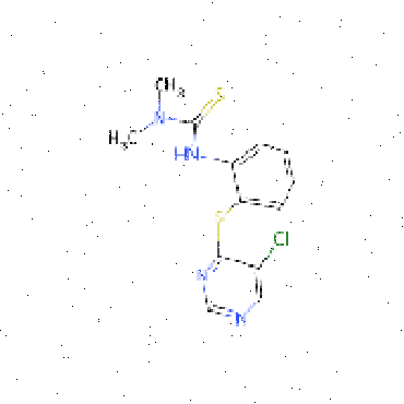 CN(C)C(=S)Nc1ccccc1Sc1ncncc1Cl